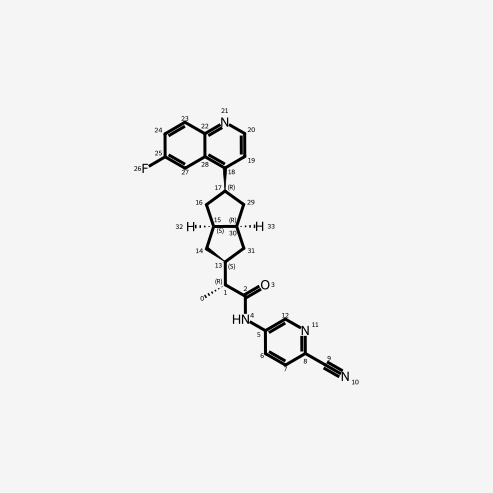 C[C@@H](C(=O)Nc1ccc(C#N)nc1)[C@H]1C[C@H]2C[C@@H](c3ccnc4ccc(F)cc34)C[C@H]2C1